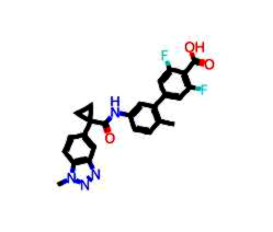 Cc1ccc(NC(=O)C2(c3ccc4c(c3)nnn4C)CC2)cc1-c1cc(F)c(C(=O)O)c(F)c1